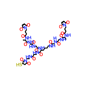 CC(NC(=O)CCCN1C(=O)C=CC1=O)C(=O)NCC(=O)NCC(=O)NCCCCC(NC(=O)CNC(=O)CNC(=O)C(C)NC(=O)CCCN1C(=O)C=CC1=O)C(=O)NCCC(=O)NCCN1C(=O)CC(S)C1=O